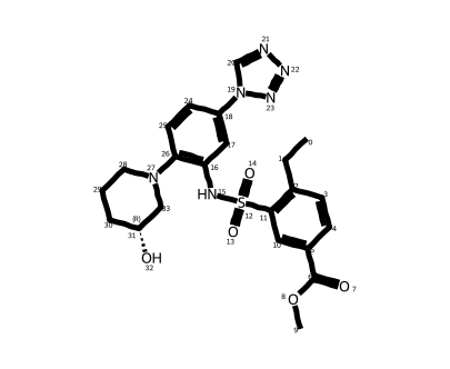 CCc1ccc(C(=O)OC)cc1S(=O)(=O)Nc1cc(-n2cnnn2)ccc1N1CCC[C@@H](O)C1